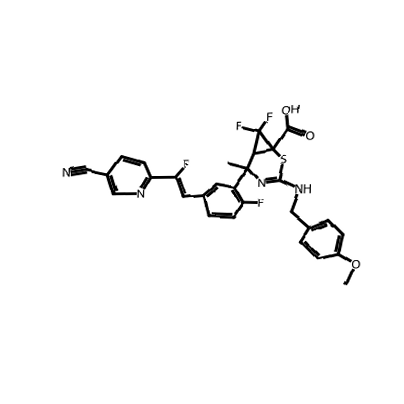 COc1ccc(CNC2=NC(C)(c3cc(C=C(F)c4ccc(C#N)cn4)ccc3F)C3C(F)(F)C3(C(=O)O)S2)cc1